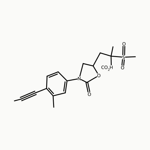 CC#Cc1ccc(N2CC(CC(C)(C(=O)O)S(C)(=O)=O)OC2=O)cc1C